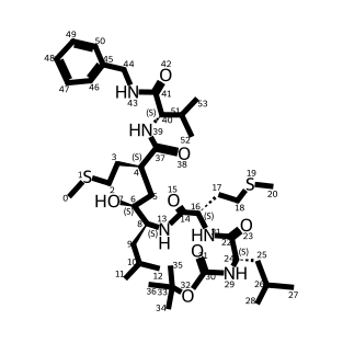 CSCC[C@H](C[C@H](O)[C@H](CC(C)C)NC(=O)[C@H](CCSC)NC(=O)[C@H](CC(C)C)NC(=O)OC(C)(C)C)C(=O)N[C@H](C(=O)NCc1ccccc1)C(C)C